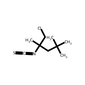 CC(C)(C)CC(C)(CCl)N=C=S